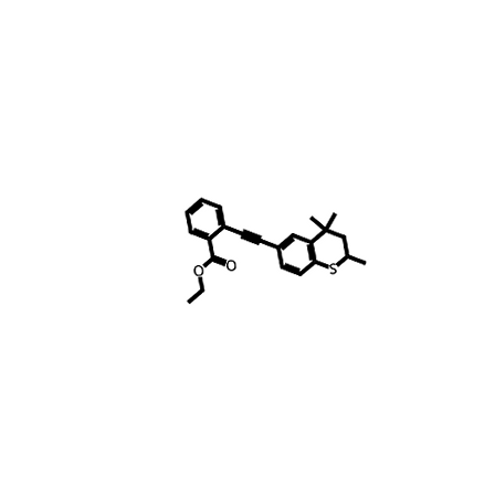 CCOC(=O)c1ccccc1C#Cc1ccc2c(c1)C(C)(C)CC(C)S2